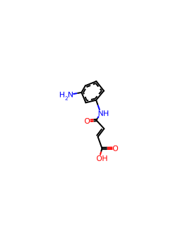 Nc1cccc(NC(=O)/C=C/C(=O)O)c1